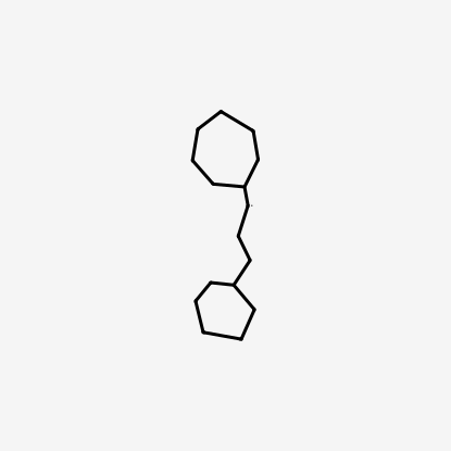 [CH](CCC1CCCCC1)C1CCCCCC1